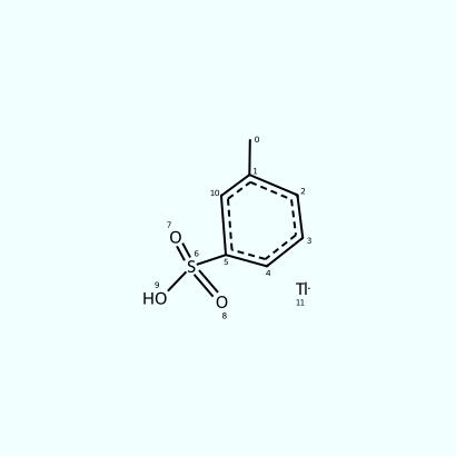 Cc1cccc(S(=O)(=O)O)c1.[Tl]